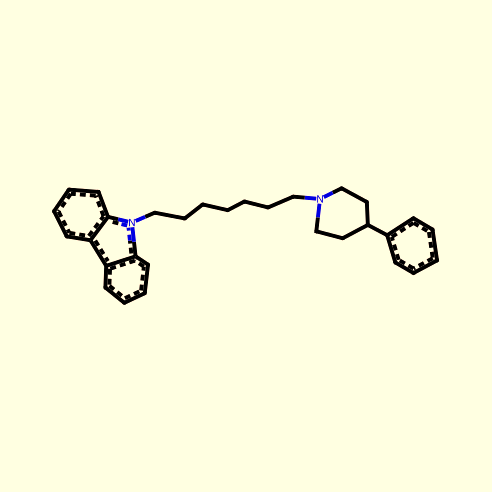 c1ccc(C2CCN(CCCCCCCn3c4ccccc4c4ccccc43)CC2)cc1